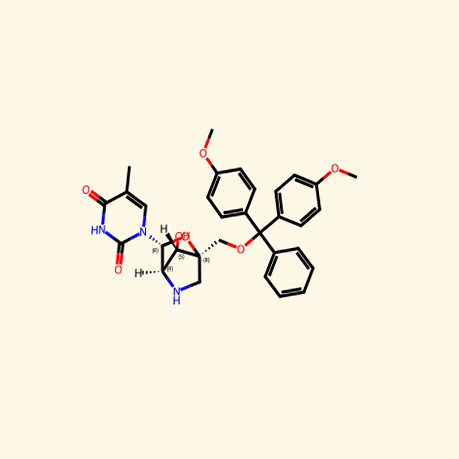 COc1ccc(C(OC[C@@]23CN[C@@H]([C@H](n4cc(C)c(=O)[nH]c4=O)O2)[C@@H]3O)(c2ccccc2)c2ccc(OC)cc2)cc1